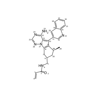 C=CC(=O)NCC1Cc2c(c(-c3cnc4ccccc4c3)c3c(N)ncnn23)[C@@H](C)C1